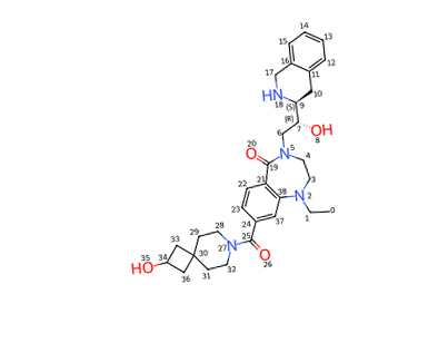 CCN1CCN(C[C@@H](O)[C@@H]2Cc3ccccc3CN2)C(=O)c2ccc(C(=O)N3CCC4(CC3)CC(O)C4)cc21